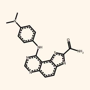 CN(C)c1ccc(Nc2ncnc3ccc4nc(C(N)=O)sc4c23)cc1